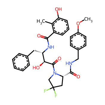 COc1ccc(CNC(=O)[C@@H]2CC(F)(F)CN2C(=O)[C@@H](O)[C@H](Cc2ccccc2)NC(=O)c2cccc(O)c2C)cc1